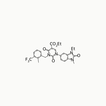 CCOC(=O)c1cn(-c2ccc3c(c2)n(CC)c(=O)n3C)c(=O)n(Cc2cccc(C(F)(F)F)c2C)c1=O